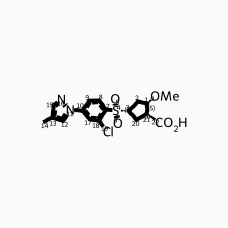 CO[C@H]1C[C@@H](S(=O)(=O)c2ccc(-n3cc(C)cn3)cc2Cl)C[C@@H]1C(=O)O